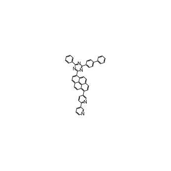 c1ccc(-c2ccc(-c3nc(-c4ccccc4)nc(-c4ccc5ccc6c(-c7ccc(-c8cccnc8)nc7)ccc7ccc4c5c76)n3)cc2)cc1